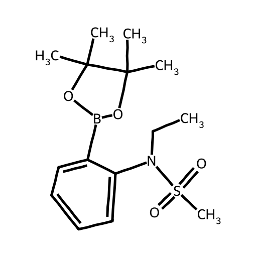 CCN(c1ccccc1B1OC(C)(C)C(C)(C)O1)S(C)(=O)=O